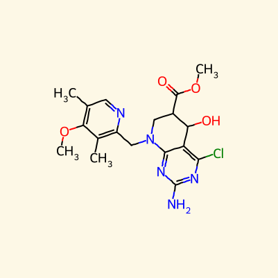 COC(=O)C1CN(Cc2ncc(C)c(OC)c2C)c2nc(N)nc(Cl)c2C1O